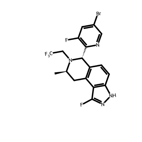 C[C@@H]1Cc2c(ccc3[nH]nc(F)c23)[C@@H](c2ncc(Br)cc2F)N1CC(F)(F)F